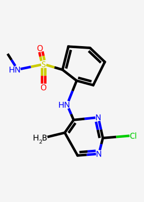 Bc1cnc(Cl)nc1Nc1ccccc1S(=O)(=O)NC